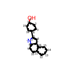 Oc1ccc(C2=Cc3c(ccc4ccccc34)[N]2)cc1